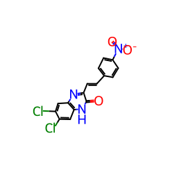 O=c1[nH]c2cc(Cl)c(Cl)cc2nc1C=Cc1ccc([N+](=O)[O-])cc1